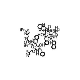 CC(C)(C)NC(=O)[C@@H]1C[C@@H]2CCCC[C@@H]2CN1C[C@@H](O)[C@H](Cc1ccccc1)NC(=O)[C@H](CC(N)=O)NC(=O)c1ccc2ccccc2n1.CC(C)c1nc(CN(C)C(=O)N[C@H](C(=O)N[C@@H](Cc2ccccc2)C[C@H](O)[C@H](Cc2ccccc2)NC(=O)OCc2cncs2)C(C)C)cs1